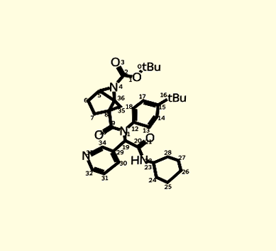 CC(C)(C)OC(=O)N1C2CCC3(C(=O)N(c4ccc(C(C)(C)C)cc4)C(C(=O)NC4CCCCC4)c4cccnc4)CC213